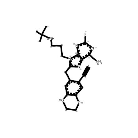 C#Cc1cc2c(cc1Cc1nc3c(N)nc(F)nc3n1CCCNC(C)(C)C)OCCO2